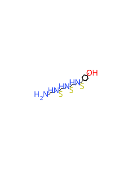 NCCCNC(=S)CCNC(=S)CCNC(=S)c1ccc(O)cc1